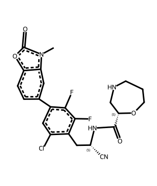 Cn1c(=O)oc2ccc(-c3cc(Cl)c(C[C@@H](C#N)NC(=O)[C@@H]4CNCCCO4)c(F)c3F)cc21